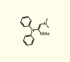 CN/C(=C\N(C)C)N(c1ccccc1)c1ccccc1